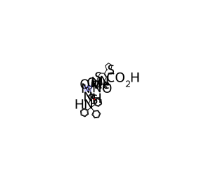 CO/N=C(\C(=O)N[C@@H]1C(=O)N2C(C(=O)O)=C(C3CCCS3)CS[C@H]12)c1csc(NC(c2ccccc2)(c2ccccc2)c2ccccc2)n1